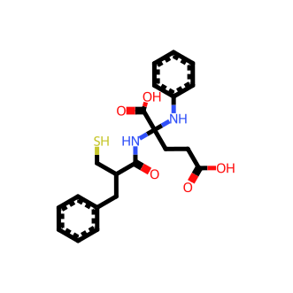 O=C(O)CCC(NC(=O)C(CS)Cc1ccccc1)(Nc1ccccc1)C(=O)O